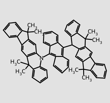 CC1(C)c2ccccc2-c2cc3c(cc21)C(c1c2ccccc2c(N2c4ccccc4C(C)(C)c4cc5c(cc42)C(C)(C)c2ccccc2-5)c2ccccc12)c1ccccc1C3(C)C